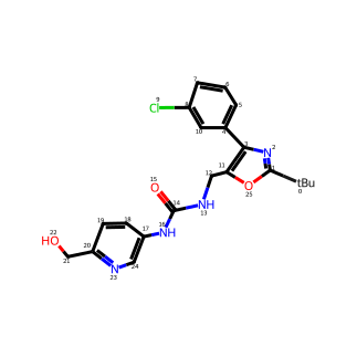 CC(C)(C)c1nc(-c2cccc(Cl)c2)c(CNC(=O)Nc2ccc(CO)nc2)o1